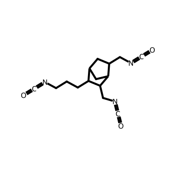 O=C=NCCCC1C2CC(CN=C=O)C(C2)C1CN=C=O